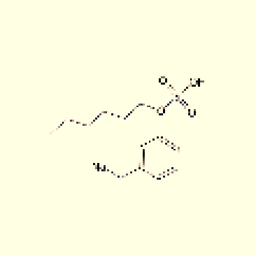 CCCCCCOS(=O)(=O)O.[Na][CH2]c1ccccc1